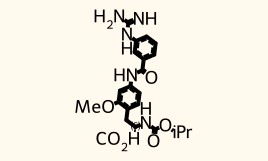 COc1cc(NC(=O)c2cccc(NC(=N)N)c2)ccc1C[C@H](NC(=O)OC(C)C)C(=O)O